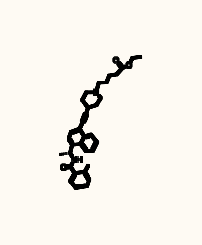 CCOC(=O)CCCCN1CCC(C#Cc2ccc([C@@H](C)NC(=O)c3ccccc3C)c3ccccc23)CC1